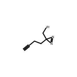 C#CCCC1(CC(C)C)N=N1